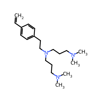 C=Cc1ccc(CCN(CCCN(C)C)CCCN(C)C)cc1